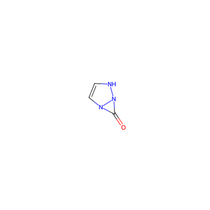 O=C1N2C=CNN12